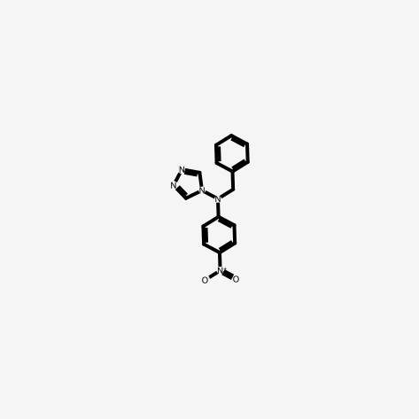 O=[N+]([O-])c1ccc(N(Cc2ccccc2)n2cnnc2)cc1